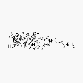 CC1(C)O[C@@H]2C[C@H]3[C@@H]4CCC5=Cc6nn(CCCCP)cc6C[C@]5(C)[C@@]4(F)[C@@H](O)C[C@]3(C)[C@]2(C(=O)CO)O1